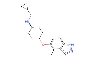 Cc1c(O[C@H]2CC[C@H](NCC3CC3)CC2)ccc2[nH]ncc12